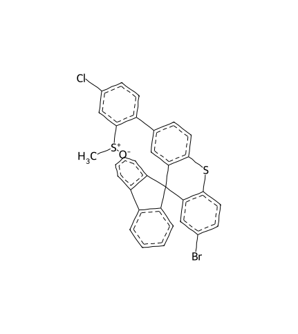 C[S+]([O-])c1cc(Cl)ccc1-c1ccc2c(c1)C1(c3cc(Br)ccc3S2)c2ccccc2-c2ccccc21